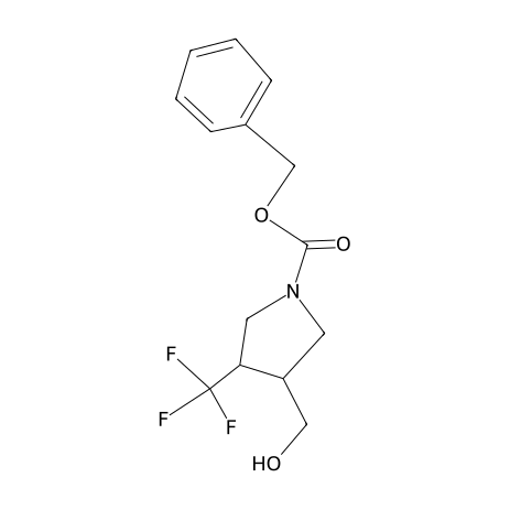 O=C(OCc1ccccc1)N1CC(CO)C(C(F)(F)F)C1